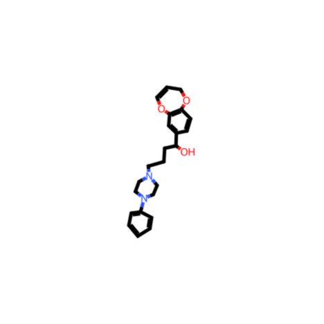 OC(CCCN1CCN(c2ccccc2)CC1)c1ccc2c(c1)OC=CCO2